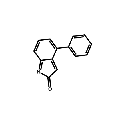 O=C1C=c2c(-c3ccccc3)cccc2=N1